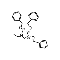 CCN1C[C@@H](OCc2ccccc2)[C@@H](OCc2ccccc2)[C@H]1OCc1ccccc1